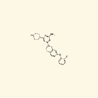 CN1CCN(c2cc(N3CCc4ccc(Oc5ccccc5Cl)cc4C3)nc(N)n2)CC1